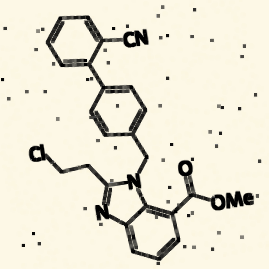 COC(=O)c1cccc2nc(CCCl)n(Cc3ccc(-c4ccccc4C#N)cc3)c12